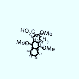 COc1c(Br)c(/C=C(/C(=O)O)C(C)OC)c(OC)c2ccccc12